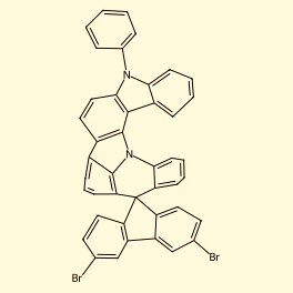 Brc1ccc2c(c1)-c1cc(Br)ccc1C21c2ccccc2-n2c3c1cccc3c1ccc3c(c4ccccc4n3-c3ccccc3)c12